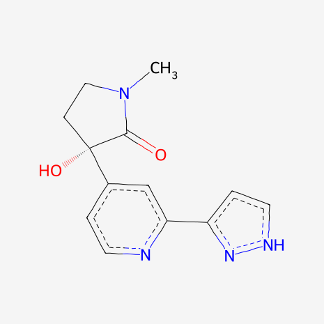 CN1CC[C@](O)(c2ccnc(-c3cc[nH]n3)c2)C1=O